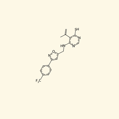 C=C(C)c1c(S)ncnc1NCc1cc(-c2ccc(C(F)(F)F)cc2)no1